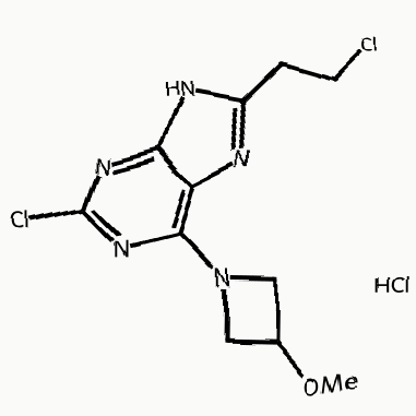 COC1CN(c2nc(Cl)nc3[nH]c(CCCl)nc23)C1.Cl